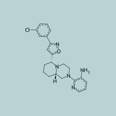 Nc1cccnc1N1CCN2[C@@H](CCC[C@@H]2c2cc(-c3cccc(Cl)c3)no2)C1